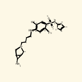 NC1C2CN(CCCCNc3cc(F)c(S(=O)(=O)Nc4nccs4)cc3Cl)CC12